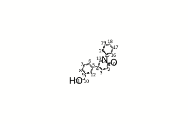 O=c1ccc(-c2cccc(CO)c2)cn1-c1ccccc1